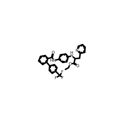 CCOC(=O)C(Cc1ccccn1)Nc1ccc(NC(=O)c2ccccc2-c2ccc(C(F)(F)F)cc2)cc1